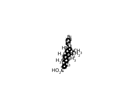 C=C(C)[C@@H]1CC[C@]2(NC(=O)CN3CCC(F)(F)CC3)CC[C@]3(C)[C@H](CCC4[C@@]5(C)CC=C(c6ccc(C(=O)O)cc6)C(C)(C)C5CC[C@]43C)C12